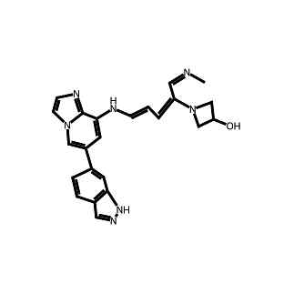 C\N=C/C(=C\C=C\Nc1cc(-c2ccc3cn[nH]c3c2)cn2ccnc12)N1CC(O)C1